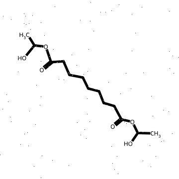 CC(O)OC(=O)CCCCCCCC(=O)OC(C)O